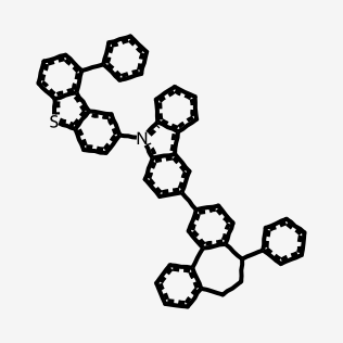 c1ccc(-c2cccc3sc4ccc(-n5c6ccccc6c6cc(-c7ccc8c(c7)-c7ccccc7CCC8c7ccccc7)ccc65)cc4c23)cc1